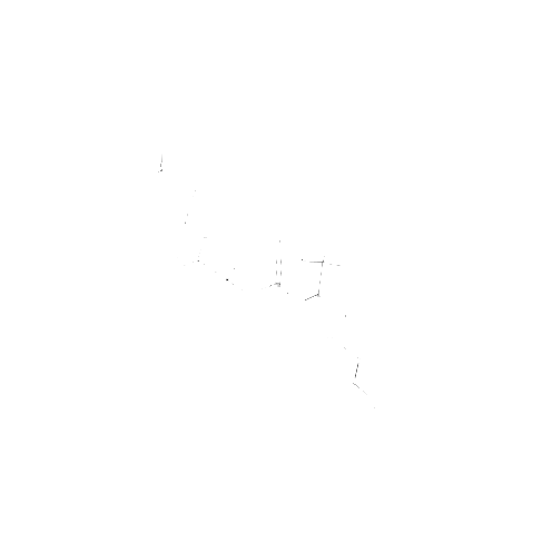 CCCCCC(OC(=O)OC(C)(C)C(O)CCCCC)C(C)(C)O